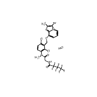 Cc1nc2c(OCc3c(Cl)ccc(N(C)C(=O)CNC(=O)C(F)(F)C(F)(F)C(F)(F)F)c3Cl)cccn2c1Br.Cl